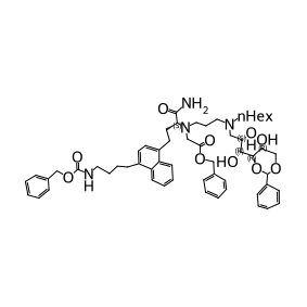 CCCCCCN(CCCN(CC(=O)OCc1ccccc1)[C@@H](CCc1ccc(CCCCNC(=O)OCc2ccccc2)c2ccccc12)C(N)=O)C[C@H](O)[C@@H](O)[C@@H]1OC(c2ccccc2)OC[C@H]1O